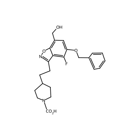 O=C(O)N1CCC(CCc2noc3c(CO)cc(OCc4ccccc4)c(F)c23)CC1